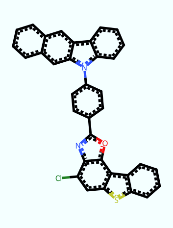 Clc1cc2sc3ccccc3c2c2oc(-c3ccc(-n4c5ccccc5c5cc6ccccc6cc54)cc3)nc12